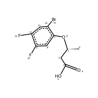 C[C@H](CC(=O)O)Oc1cc(F)c(F)cc1Br